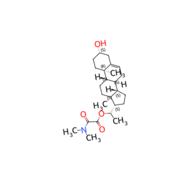 CC(OC(=O)C(=O)N(C)C)[C@H]1CC[C@H]2[C@@H]3CC=C4C[C@@H](O)CC[C@]4(C)[C@H]3CC[C@]12C